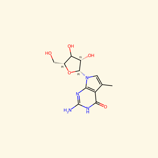 Cc1cn([C@@H]2O[C@H](CO)C(O)[C@@H]2O)c2nc(N)[nH]c(=O)c12